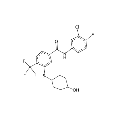 O=C(Nc1ccc(F)c(Cl)c1)c1ccc(C(F)(F)I)c(SC2CCC(O)CC2)c1